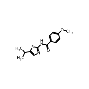 COc1ccc(C(=O)Nc2ncc(C(C)C)s2)cc1